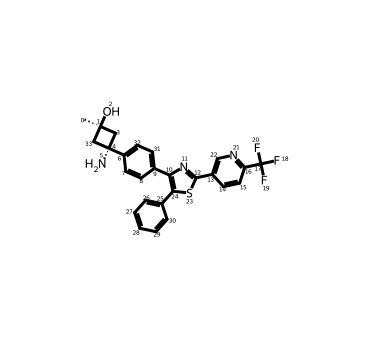 C[C@]1(O)C[C@@](N)(c2ccc(-c3nc(-c4ccc(C(F)(F)F)nc4)sc3-c3ccccc3)cc2)C1